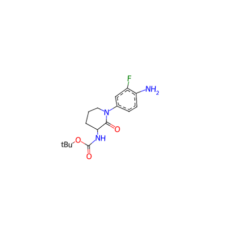 CC(C)(C)OC(=O)NC1CCCN(c2ccc(N)c(F)c2)C1=O